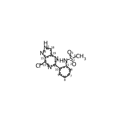 CS(=O)(=O)Nc1ccccc1-c1nc(Cl)c2n[nH]cc2n1